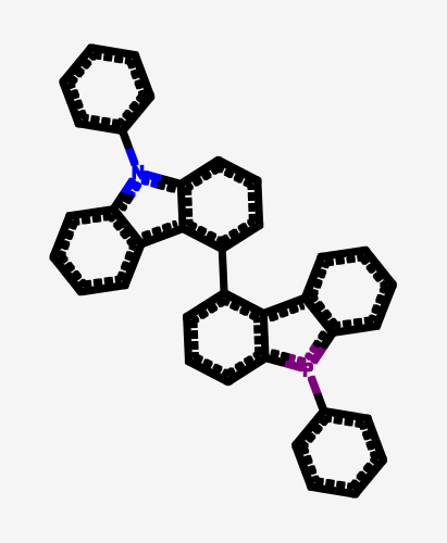 c1ccc(-n2c3ccccc3c3c(-c4cccc5c4c4ccccc4p5-c4ccccc4)cccc32)cc1